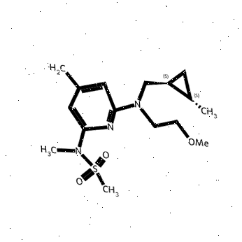 [CH2]c1cc(N(CCOC)C[C@H]2C[C@@H]2C)nc(N(C)S(C)(=O)=O)c1